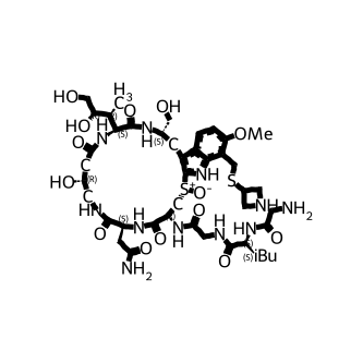 CC[C@H](C)[C@H](NC(=O)CN)C(=O)NCC(=O)N[C@H]1C[S+]([O-])c2[nH]c3c(CSC4CNC4)c(OC)ccc3c2C[C@@H](CO)NC(=O)[C@H]([C@@H](C)[C@@H](O)CO)NC(=O)C[C@@H](O)CNC(=O)[C@H](CC(N)=O)NC1=O